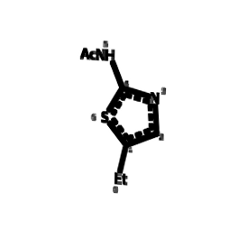 CCc1cnc(NC(C)=O)s1